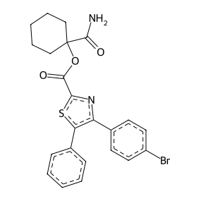 NC(=O)C1(OC(=O)c2nc(-c3ccc(Br)cc3)c(-c3ccccc3)s2)CCCCC1